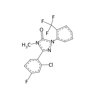 Cn1c(-c2ccc(F)cc2Cl)nn(-c2ccccc2C(F)(F)F)c1=O